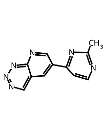 Cc1nccc(-c2cnc3nnncc3c2)n1